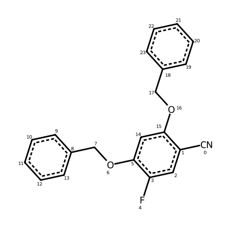 N#Cc1cc(F)c(OCc2ccccc2)cc1OCc1ccccc1